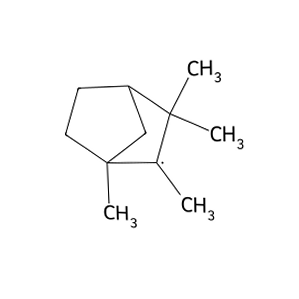 C[C]1C2(C)CCC(C2)C1(C)C